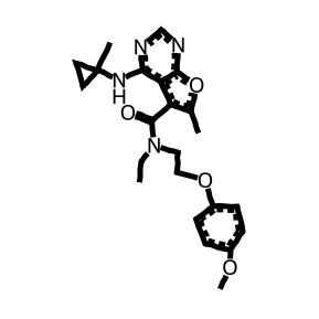 CCN(CCOc1ccc(OC)cc1)C(=O)c1c(C)oc2ncnc(NC3(C)CC3)c12